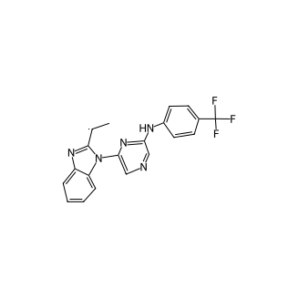 C[CH]c1nc2ccccc2n1-c1cncc(Nc2ccc(C(F)(F)F)cc2)n1